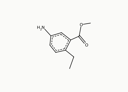 CCc1ccc(N)cc1C(=O)OC